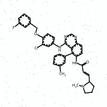 Cc1cccc(-c2c(NC(=O)/C=C/C3CCCN3C)ccc3ncnc(Nc4ccc(OCc5cccc(F)c5)c(Cl)c4)c23)c1